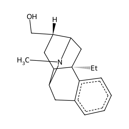 CC[C@@]12CC3[C@@H](CO)CC1C(Cc1ccccc12)N3C